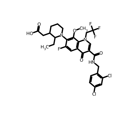 CCC1C(CC(=O)O)CCCN1c1c(F)cc2c(=O)c(C(=O)NCc3ccc(Cl)cc3Cl)cn(CC(F)(F)F)c2c1OC